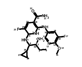 CC[C@H](N)C(NC1NC(Nc2cnc(OC)c(F)c2)=C(C(N)=O)C=C1F)C1CC1